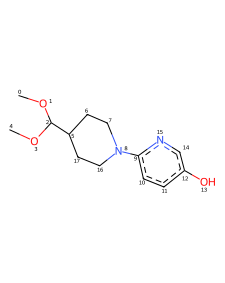 COC(OC)C1CCN(c2ccc(O)cn2)CC1